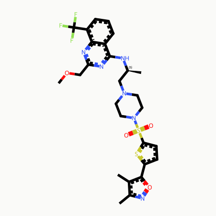 COCc1nc(N[C@@H](C)CN2CCN(S(=O)(=O)c3ccc(-c4onc(C)c4C)s3)CC2)c2cccc(C(F)(F)F)c2n1